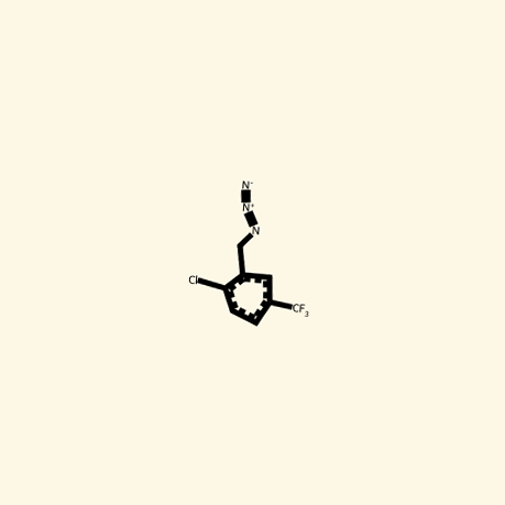 [N-]=[N+]=NCc1cc(C(F)(F)F)ccc1Cl